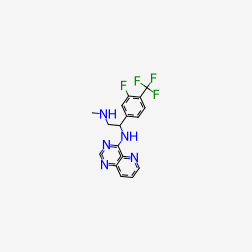 CNCC(Nc1ncnc2cccnc12)c1ccc(C(F)(F)F)c(F)c1